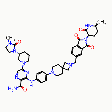 C=C1CCC(N2C(=O)c3ccc(CN4CC5(CCN(c6ccc(Nc7nc(N8CCC[C@@H](N9CCN(C)C9=O)C8)cnc7C(N)=O)cc6)CC5)C4)cc3C2=O)C(=O)N1